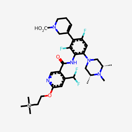 C[C@@H]1CN(c2cc(F)c(C3=CCCN(C(=O)O)C3)c(F)c2NC(=O)c2cnc(OCC[Si](C)(C)C)cc2C(F)F)C[C@H](C)N1C